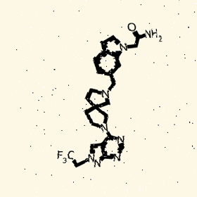 NC(=O)Cn1ccc2ccc(CN3CCC4(CCN(c5ncnc6nn(CC(F)(F)F)cc56)C4)C3)cc21